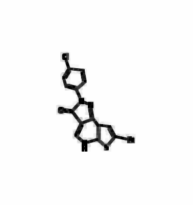 CCc1cc2c3nn(-c4ccc(Cl)cc4)c(=O)c-3c[nH]c2s1